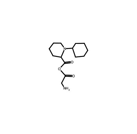 NCC(=O)OC(=O)C1CCCCN1C1CCCCC1